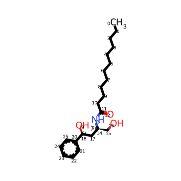 CCCCCCCCCCCC(=O)N[C@@H](CO)C[C@H](O)c1ccccc1